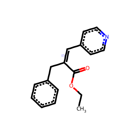 CCOC(=O)/C(=C\c1ccncc1)Cc1ccccc1